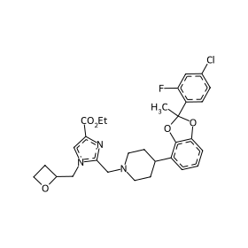 CCOC(=O)c1cn(CC2CCO2)c(CN2CCC(c3cccc4c3OC(C)(c3ccc(Cl)cc3F)O4)CC2)n1